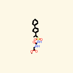 COC(=O)CNC(=O)NS(=O)(=O)C=C(C)c1ccc(-c2ccccc2)cc1